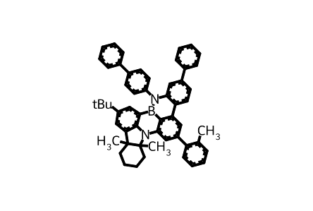 Cc1ccccc1-c1cc2c3c(c1)N1c4c(cc(C(C)(C)C)cc4C4(C)CCCCC14C)B3N(c1ccc(-c3ccccc3)cc1)c1cc(-c3ccccc3)ccc1-2